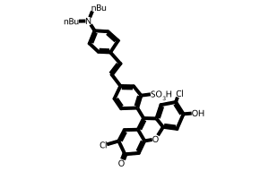 CCCCN(CCCC)c1ccc(C=Cc2ccc(-c3c4cc(Cl)c(=O)cc-4oc4cc(O)c(Cl)cc34)c(S(=O)(=O)O)c2)cc1